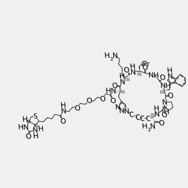 CC(C)C[C@@H]1NC(=O)[C@H](CCCCN)NC(=O)[C@@H](NC(=O)COCCOCCOCCNC(=O)CCCCC2SC[C@@H]3NC(=O)N[C@H]23)Cc2cn(nn2)CCCC[C@@H](C(N)=O)NC(=O)[C@@H]2CCCN2C(=O)[C@H](Cc2c[nH]c3ccccc23)NC(=O)CNC1=O